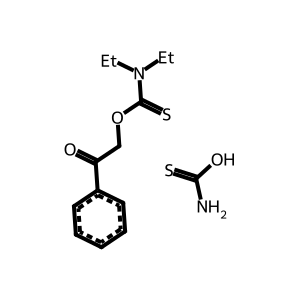 CCN(CC)C(=S)OCC(=O)c1ccccc1.NC(O)=S